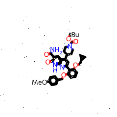 COc1ccc(COc2cccc(OCC3CC3)c2-c2cc(C3CCN(C(=O)OC(C)(C)C)CC3)c3cc(C(N)=O)c(=O)[nH]c3n2)cc1